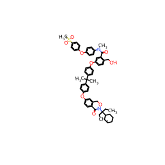 CCC(CC)(C1CCCCC1)N1OCc2cc(Oc3ccc(C(C)(C)c4ccc(Oc5ccc(CO)c(C(=O)N(C)c6ccc(Oc7ccc(S(C)(=O)=O)cc7)cc6)c5)cc4)cc3)ccc2C1=O